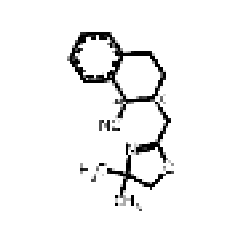 CC1(C)COC(C[C@@H]2CCc3ccccc3[C@@H]2C#N)=N1